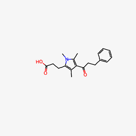 Cc1c(C(=O)CCc2ccccc2)c(C)n(C)c1CCC(=O)O